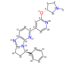 CN1CC[C@@H](Oc2cc(-c3ccc4nc5n(c4n3)[C@@H](c3ccccc3)CC5)ccn2)C1